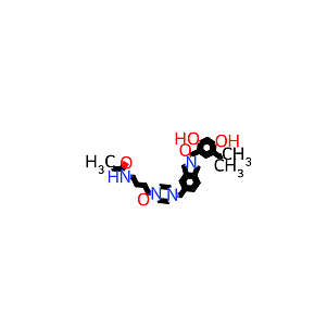 CCC(=O)NCCCC(=O)N1CCN(Cc2ccc3c(c2)CN(C(=O)c2cc(C(C)C)c(O)cc2O)C3)CC1